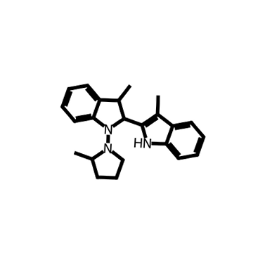 Cc1c(C2C(C)c3ccccc3N2N2CCCC2C)[nH]c2ccccc12